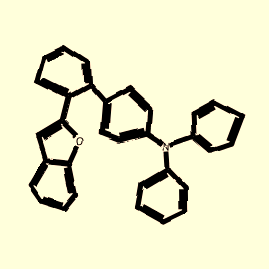 c1ccc(N(c2ccccc2)c2ccc(-c3ccccc3-c3cc4ccccc4o3)cc2)cc1